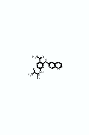 CC[C@@H](Nc1ccc(C(N)=O)c(Nc2ccc3ncccc3c2)n1)C(N)=O